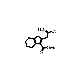 C=C(CC)CC1=C(C(=O)OC)C2=C(CCCC2)C1